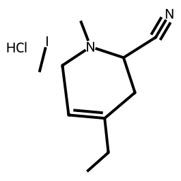 CCC1=CCN(C)C(C#N)C1.CI.Cl